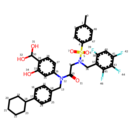 Cc1ccc(S(=O)(=O)N(CC(=O)N(Cc2ccc(C3CCCCC3)cc2)c2ccc(C(O)O)c(O)c2)Cc2c(F)cc(F)c(F)c2F)cc1